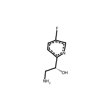 NC[C@@H](O)c1ccc(F)cn1